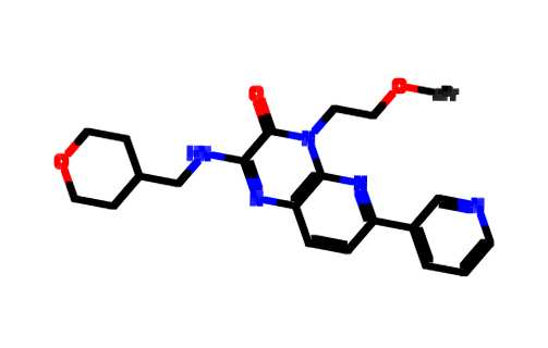 CCCOCCn1c(=O)c(NCC2CCOCC2)nc2ccc(-c3cccnc3)nc21